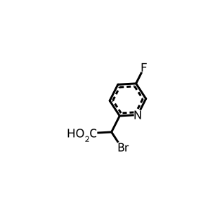 O=C(O)C(Br)c1ccc(F)cn1